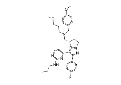 CCCNc1nccc(-c2c(-c3ccc(F)cc3)nc3n2[C@H](CN(CCCOC)Cc2ccc(OC)cc2)CC3)n1